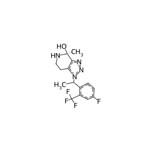 CC(c1ccc(F)cc1C(F)(F)F)n1nnc2c1CCN[C@@]2(C)O